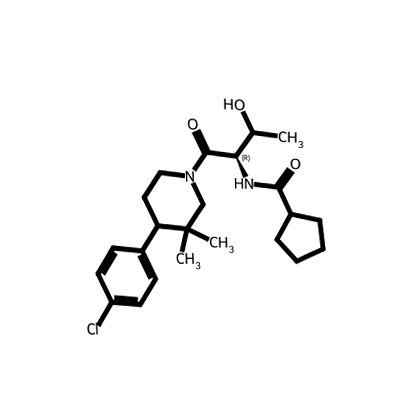 CC(O)[C@@H](NC(=O)C1CCCC1)C(=O)N1CCC(c2ccc(Cl)cc2)C(C)(C)C1